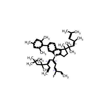 C=C\C(F)=C/C=C(\C=C(/C=C)C(C)(C)CC(C)(C)C)n1c2c(c3ccc(-c4c(C)cc(C)cc4C)cc31)C(C)(C(C)(C)/C=C(/C)C=C(C)C)CC2